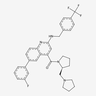 O=C(c1cc(NCc2ccc(C(F)(F)F)cc2)nc2ccc(-c3cccc(F)c3)cc12)N1CCC[C@H]1CN1CCCC1